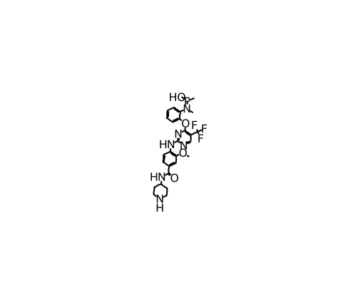 COc1cc(C(=O)NC2CCNCC2)ccc1Nc1ncc(C(F)(F)F)c(Oc2ccccc2N(C)P(C)O)n1